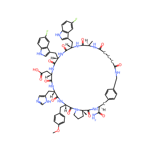 COc1ccc(C[C@@H]2NC(=O)[C@H](Cc3cnc[nH]3)NC(=O)[C@H](CC(=O)O)NC(=O)[C@H](Cc3c[nH]c4ccc(F)cc34)NC(=O)[C@H](Cc3c[nH]c4ccc(F)cc34)NC(=O)[C@@H](C)NC(=O)CCCC(=O)NCc3ccc(cc3)C[C@@H](C(N)=O)NC(=O)[C@]3(C)CCCN3C2=O)cc1